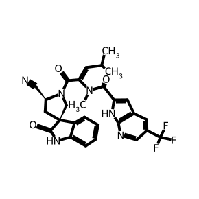 CC(C)/C=C(/C(=O)N1C[C@]2(C[C@H]1C#N)C(=O)Nc1ccccc12)N(C)C(=O)c1cc2cc(C(F)(F)F)cnc2[nH]1